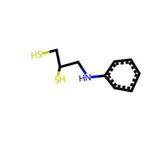 SCC(S)CNc1ccccc1